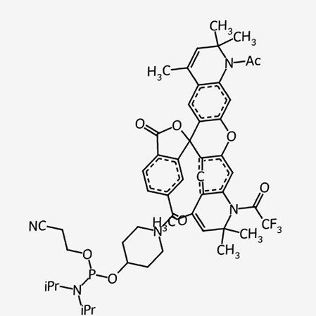 CC(=O)N1c2cc3c(cc2C(C)=CC1(C)C)C1(OC(=O)c2ccc(C(=O)N4CCC(OP(OCCC#N)N(C(C)C)C(C)C)CC4)cc21)c1cc2c(cc1O3)N(C(=O)C(F)(F)F)C(C)(C)C=C2C